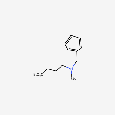 CCOC(=O)CCCN(Cc1ccccc1)C(C)(C)C